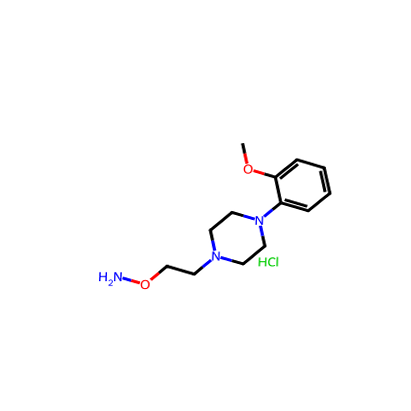 COc1ccccc1N1CCN(CCON)CC1.Cl